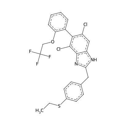 CCSc1ccc(Cc2nc3c(Cl)c(-c4ccccc4OCC(F)(F)F)c(Cl)cc3[nH]2)cc1